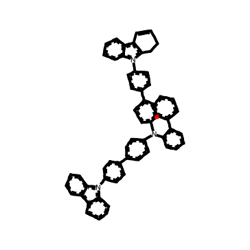 C1=Cc2c(n(-c3ccc(-c4ccc(N(c5ccc(-c6ccc(-n7c8ccccc8c8ccccc87)cc6)cc5)c5ccccc5-c5ccccc5)cc4)cc3)c3ccccc23)CC1